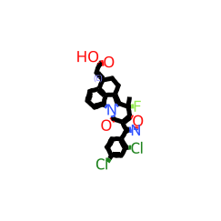 CC1(F)c2onc(-c3ccc(Cl)cc3Cl)c2C(=O)n2c1c1c3c(cccc32)/C(=C/C(=O)O)CC1